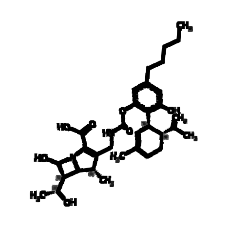 C=C(C)[C@@H]1CCC(C)=C[C@H]1c1c(O)cc(CCCCC)cc1OC(=O)NCC1=C(C(=O)O)N2C(O)[C@H]([C@@H](C)O)C2[C@H]1C